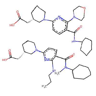 CCCNc1nc(N2CCC[C@@H](CC(=O)O)C2)ccc1C(=O)N(C)C1CCCCC1.O=C(O)C[C@@H]1CCCN(c2ccc(C(=O)NC3CCCCC3)c(N3CCOCC3)n2)C1